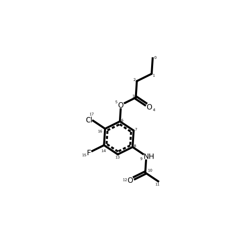 CCCC(=O)Oc1cc(NC(C)=O)cc(F)c1Cl